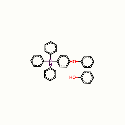 Oc1ccccc1.Oc1ccccc1.c1ccc([PH](c2ccccc2)(c2ccccc2)c2ccccc2)cc1